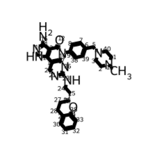 CN1CCN(Cc2ccc(-n3c(=O)c4c(N)n[nH]c4c4cnc(NCC[C@H]5CCc6ccccc6O5)nc43)cc2)CC1